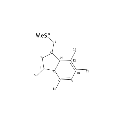 CSCC1CC(C)C2C(C)=CC(C)=C(C)C12